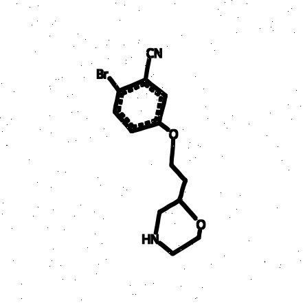 N#Cc1cc(OCCC2CNCCO2)ccc1Br